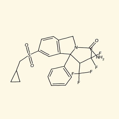 NC(=O)N1Cc2ccc(S(=O)(=O)CC3CC3)cc2C1(c1ccccc1)C(C(F)(F)F)C(F)(F)F